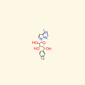 Cc1ncnc2c1ccn2[C@@H]1O[C@H]([C@H](O)c2ccc3c(c2)CC3)[C@@H](O)[C@H]1O